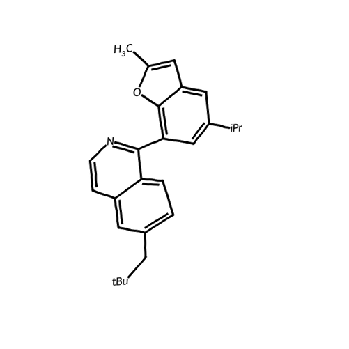 Cc1cc2cc(C(C)C)cc(-c3nccc4cc(CC(C)(C)C)ccc34)c2o1